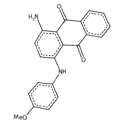 COc1ccc(Nc2ccc(N)c3c2C(=O)c2ccccc2C3=O)cc1